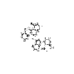 Nc1ncnc2c1c(-c1cccc(O)c1)nn2Cc1cc2cccc(F)c2c(=O)n1-c1ccccc1F